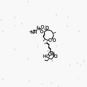 CC[C@H](O)[C@@H](C)[C@H]1O[C@@H]1C[C@@](C)(O)/C=C/C=C(\C)[C@H]1OC(=O)C[C@H](C)CC[C@@](C)(OC)[C@@H](OC(=O)N(C)CCNC)/C=C/[C@@H]1C